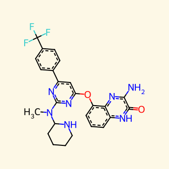 CN(c1nc(Oc2cccc3[nH]c(=O)c(N)nc23)cc(-c2ccc(C(F)(F)F)cc2)n1)C1CCCCN1